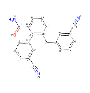 N#Cc1cccc(Cc2cccc(C(N)=O)c2-c2cccc(C#N)c2)c1